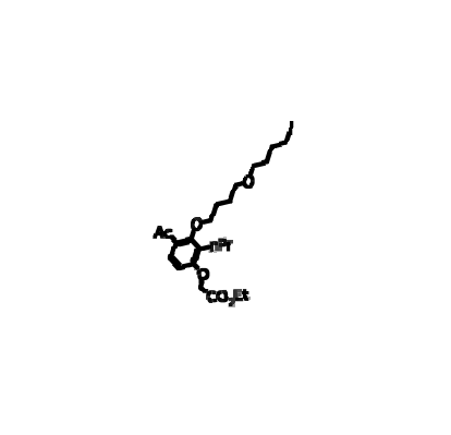 CCCc1c(OCC(=O)OCC)ccc(C(C)=O)c1OCCCCOCCCCI